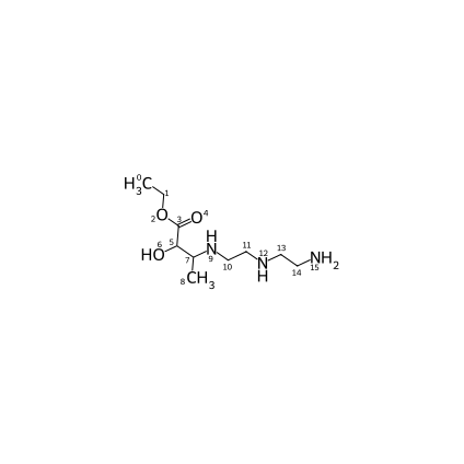 CCOC(=O)C(O)C(C)NCCNCCN